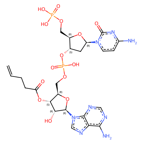 C=CCCC(=O)O[C@H]1[C@@H](O)[C@H](n2cnc3c(N)ncnc32)O[C@@H]1COP(=O)(O)O[C@H]1C[C@H](n2ccc(N)nc2=O)O[C@@H]1COP(=O)(O)O